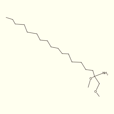 CCCCCCCCCCCCCCCCC(N)(COC)OC